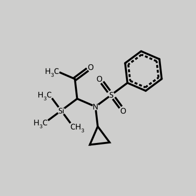 CC(=O)C(N(C1CC1)S(=O)(=O)c1ccccc1)[Si](C)(C)C